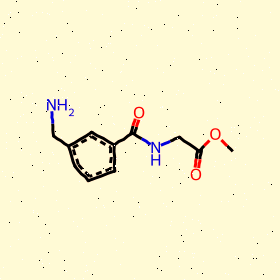 COC(=O)CNC(=O)c1cccc(CN)c1